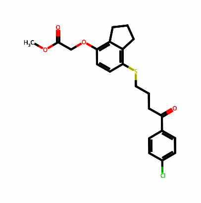 COC(=O)COc1ccc(SCCCC(=O)c2ccc(Cl)cc2)c2c1CCC2